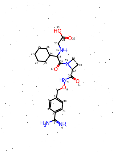 N=C(N)c1ccc(CONC(=O)C2CCN2C(=O)C(NCC(=O)O)C2CCCCC2)cc1